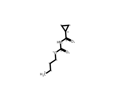 CCCCOC(=O)NC(=O)C1CC1